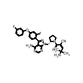 CC(C)(N)/C=C(/C#N)C(=O)N1CCC[C@H]1Cn1nc(-c2ccc(Oc3cccc(F)c3)cc2F)c2c(N)ncnc21